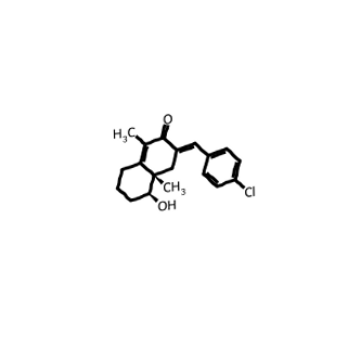 CC1=C2CCC[C@H](O)[C@@]2(C)CC(=Cc2ccc(Cl)cc2)C1=O